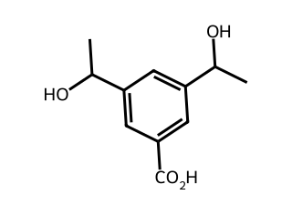 CC(O)c1cc(C(=O)O)cc(C(C)O)c1